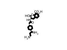 NCCC(N)[C@H]1CC[C@H](CC(=O)N[C@H]2Cc3cccc(C(=O)O)c3OB2O)CC1